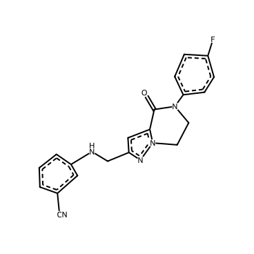 N#Cc1cccc(NCc2cc3n(n2)CCN(c2ccc(F)cc2)C3=O)c1